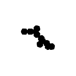 CC1(C)c2ccccc2-c2ccc(N(c3ccccc3)C3(C)C=CC(C4=CC5c6ccccc6N(c6ccc(-c7ccccc7)cc6)C5C=C4)=CC3)cc21